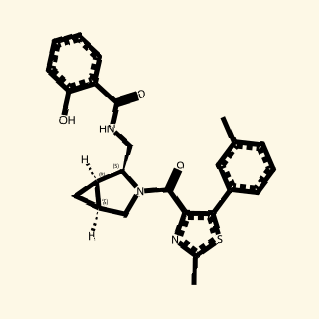 Cc1cccc(-c2sc(C)nc2C(=O)N2C[C@H]3C[C@H]3[C@H]2CNC(=O)c2ccccc2O)c1